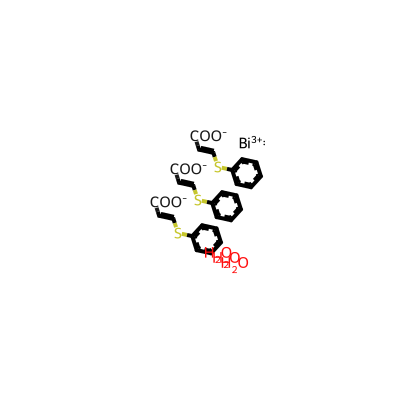 O.O.O.O=C([O-])/C=C/Sc1ccccc1.O=C([O-])/C=C/Sc1ccccc1.O=C([O-])/C=C/Sc1ccccc1.[Bi+3]